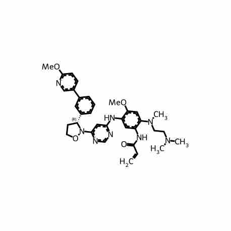 C=CC(=O)Nc1cc(Nc2cc(N3OCC[C@@H]3c3cccc(-c4ccc(OC)nc4)c3)ncn2)c(OC)cc1N(C)CCN(C)C